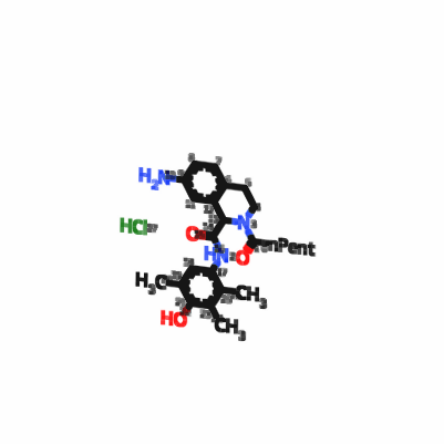 CCCCCC(=O)N1CCc2ccc(N)cc2C1C(=O)Nc1cc(C)c(O)c(C)c1C.Cl